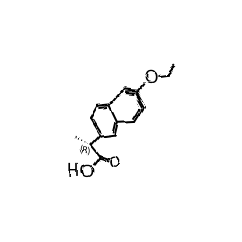 CCOc1ccc2cc([C@@H](C)C(=O)O)ccc2c1